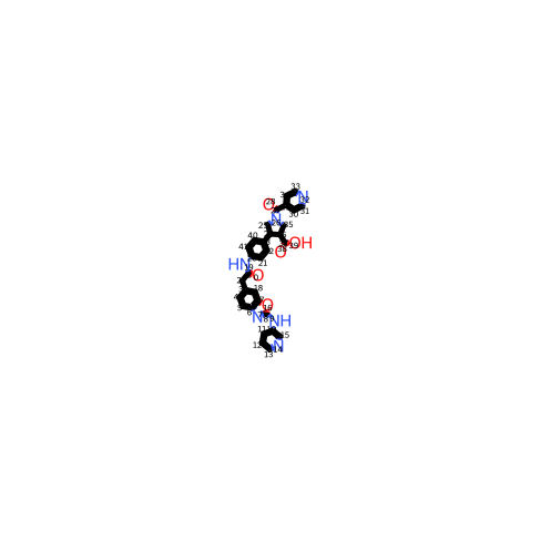 O=C(Cc1ccc2nc(Nc3cccnc3)oc2c1)Nc1ccc(C2CN(C(=O)c3ccncc3)CC2C(=O)O)cc1